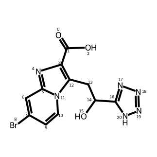 O=C(O)c1nc2cc(Br)ccn2c1CC(O)c1nnn[nH]1